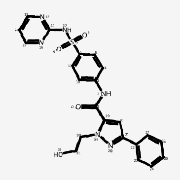 O=C(Nc1ccc(S(=O)(=O)Nc2ncccn2)cc1)c1cc(-c2ccccc2)nn1CCO